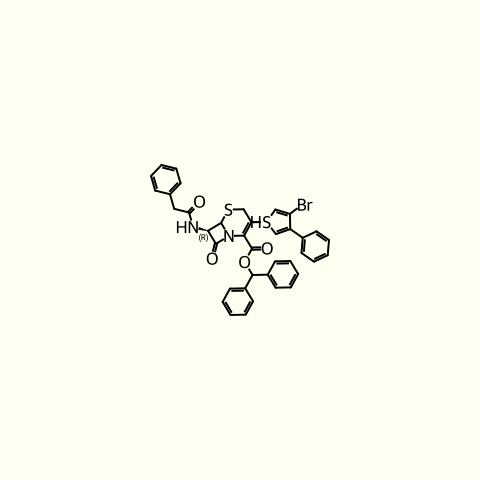 O=C(Cc1ccccc1)N[C@@H]1C(=O)N2C(C(=O)OC(c3ccccc3)c3ccccc3)=C([SH]3C=C(Br)C(c4ccccc4)=C3)CSC12